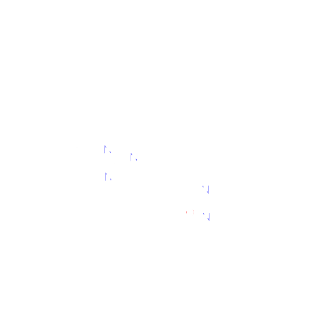 c1ccc(-c2noc(-c3ccc(-n4c5ccccc5n5c6ccccc6nc45)cc3)n2)cc1